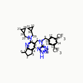 CC1CCc2cc(CN(Cc3cc(C(F)(F)F)cc(C(F)(F)F)c3)c3nn[nH]n3)c(N(CC3CC3)CC3CC3)nc21